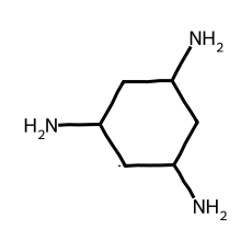 NC1[CH]C(N)CC(N)C1